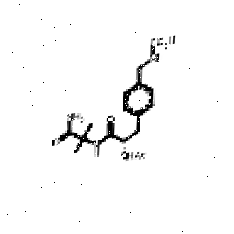 CC(=O)N[C@@H](Cc1ccc(CNC(=O)O)cc1)C(=O)NC(C)(C)C(N)=O